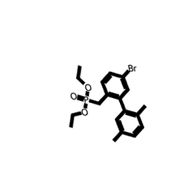 CCOP(=O)(Cc1ccc(Br)cc1-c1cc(C)ccc1C)OCC